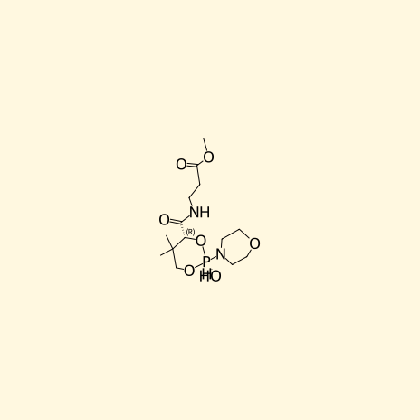 COC(=O)CCNC(=O)[C@@H]1O[PH](O)(N2CCOCC2)OCC1(C)C